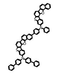 c1ccc(-c2ccc(N(c3ccc(-c4ccccc4)cc3)c3ccc4c(c3)sc3ccc5c6ccc7cc(-c8ccc(N(c9ccccc9)c9ccc%10c(c9)sc9ccc%11c%12ccc%13ccccc%13c%12oc%11c9%10)cc8)ccc7c6oc5c34)cc2)cc1